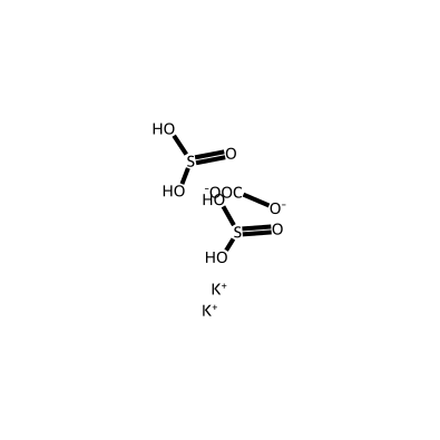 O=C([O-])[O-].O=S(O)O.O=S(O)O.[K+].[K+]